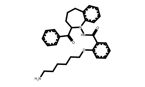 NCCCCCCOc1ccccc1C(=O)NN1c2ccccc2CCCC1C(=O)c1ccccc1